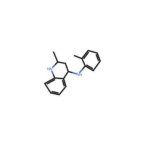 Cc1ccccc1NC1CC(C)Nc2ccccc21